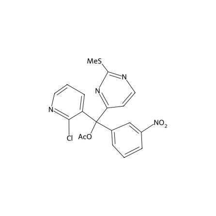 CSc1nccc(C(OC(C)=O)(c2cccc([N+](=O)[O-])c2)c2cccnc2Cl)n1